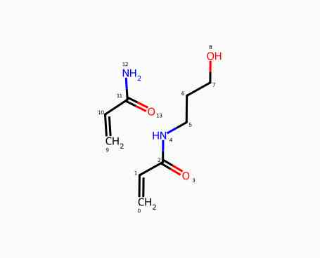 C=CC(=O)NCCCO.C=CC(N)=O